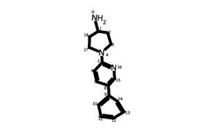 NC1CCN(c2ccc(-c3c[c]ccc3)cn2)CC1